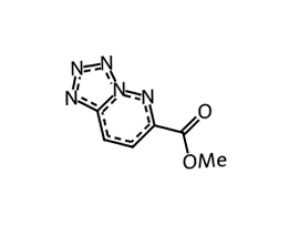 COC(=O)c1ccc2nnnn2n1